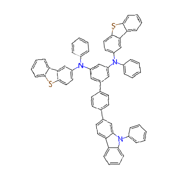 c1ccc(N(c2cc(-c3ccc(-c4ccc5c6ccccc6n(-c6ccccc6)c5c4)cc3)cc(N(c3ccccc3)c3ccc4sc5ccccc5c4c3)c2)c2ccc3sc4ccccc4c3c2)cc1